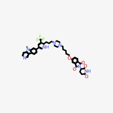 Cn1c2ccncc2c2ccc(C3=CNC(CCCN4CCN(CCCCCOc5ccc6c(c5)C(=O)N(C5CCC(=O)NC5=O)C6=O)CC4)C(C(F)(F)F)=C3)cc21